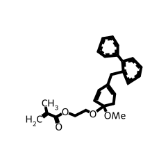 C=C(C)C(=O)OCCOC1(OC)C=CC(Cc2ccccc2-c2ccccc2)=CC1